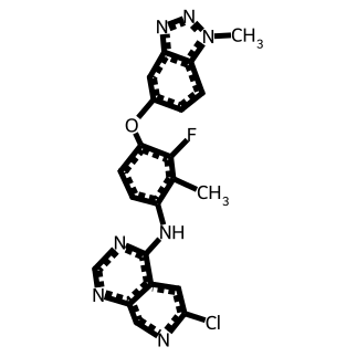 Cc1c(Nc2ncnc3cnc(Cl)cc23)ccc(Oc2ccc3c(c2)nnn3C)c1F